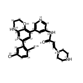 O=C(C=CN1CCNCC1)Nc1cncc(-c2cc(-c3cc(Cl)ccc3F)nc3c2OCCN3)c1